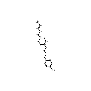 CCCc1ccc(CCCCC2CCC(CCC=CC#N)CC2)cc1